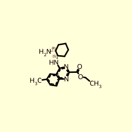 CCOC(=O)c1nc(N[C@H]2CCCC[C@H]2N)c2cc(C)ccc2n1